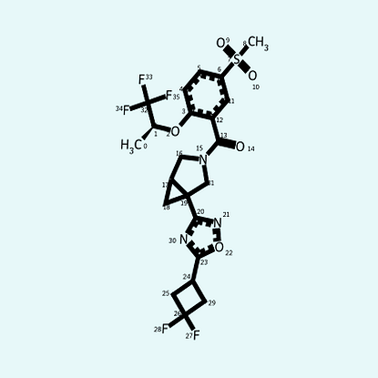 C[C@H](Oc1ccc(S(C)(=O)=O)cc1C(=O)N1CC2CC2(c2noc(C3CC(F)(F)C3)n2)C1)C(F)(F)F